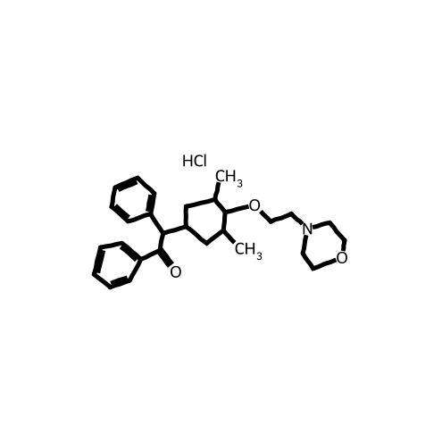 CC1CC(C(C(=O)c2ccccc2)c2ccccc2)CC(C)C1OCCN1CCOCC1.Cl